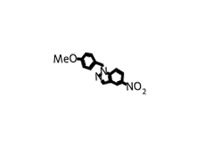 COc1ccc(Cn2ncc3cc([N+](=O)[O-])ccc32)cc1